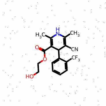 CC1=C(C#N)C(c2ccccc2C(F)(F)F)C(C(=O)OCCO)=C(C)N1